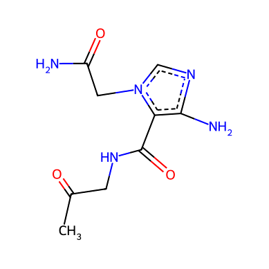 CC(=O)CNC(=O)c1c(N)ncn1CC(N)=O